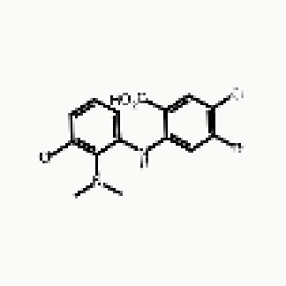 CN(C)c1c(Cl)cccc1Nc1cc(Br)c(Cl)cc1C(=O)O